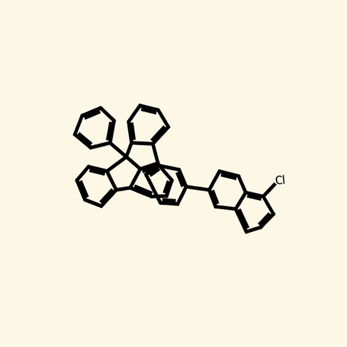 Clc1cccc2cc(-c3cccc(-c4ccccc4C4(c5ccccc5)c5ccccc5-c5ccccc54)c3)ccc12